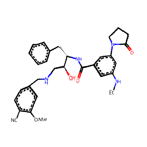 CCNc1cc(C(=O)N[C@@H](Cc2ccccc2)[C@@H](O)CNCc2ccc(C#N)c(OC)c2)cc(N2CCCC2=O)c1